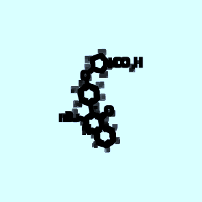 CCCCc1nc2ccccn2c(=O)c1-c1ccc(OC2CCN(C(=O)O)C2)cc1